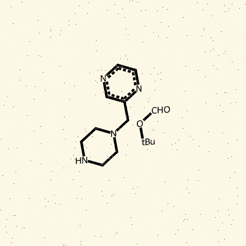 CC(C)(C)OC=O.c1cnc(CN2CCNCC2)cn1